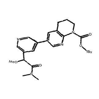 COC(C(=O)N(C)C)c1cncc(-c2cnc3c(c2)CCCN3C(=O)OC(C)(C)C)c1